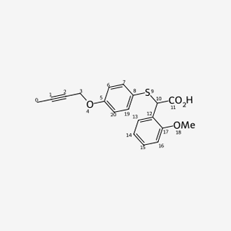 CC#CCOc1ccc(SC(C(=O)O)c2ccccc2OC)cc1